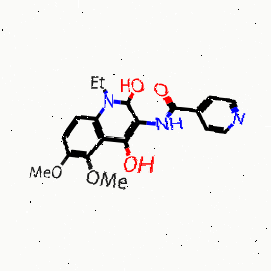 CCN1c2ccc(OC)c(OC)c2C(O)=C(NC(=O)c2ccncc2)C1O